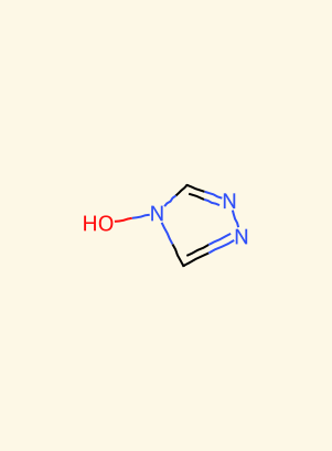 On1cnnc1